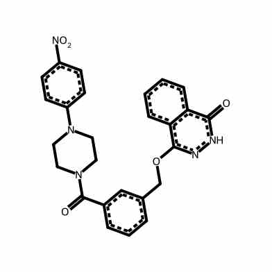 O=C(c1cccc(COc2n[nH]c(=O)c3ccccc23)c1)N1CCN(c2ccc([N+](=O)[O-])cc2)CC1